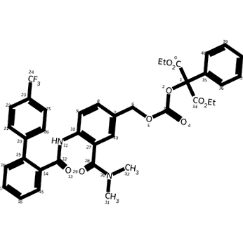 CCOC(=O)C(OC(=O)OCc1ccc(NC(=O)c2ccccc2-c2ccc(C(F)(F)F)cc2)c(C(=O)N(C)C)c1)(C(=O)OCC)c1ccccc1